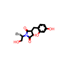 CCC(C)C(CO)N1C(=O)CC(Cc2ccc(O)cc2O)C1=O